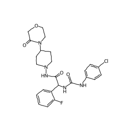 O=C(Nc1ccc(Cl)cc1)NC(C(=O)NN1CCC(N2CCOCC2=O)CC1)c1ccccc1F